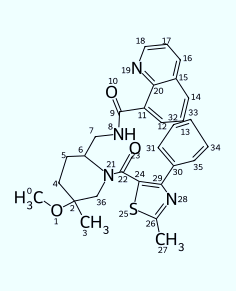 COC1(C)CCC(CNC(=O)c2cccc3cccnc23)N(C(=O)c2sc(C)nc2-c2ccccc2)C1